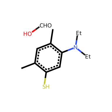 CCN(CC)c1cc(S)c(C)cc1C.O=CO